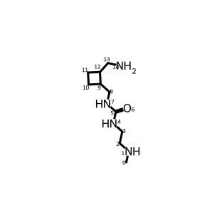 CNCCNC(=O)NCC1CCC1CN